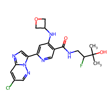 CC(C)(O)C(F)CNC(=O)c1cnc(-c2cnc3cc(Cl)cnn23)cc1NC1COC1